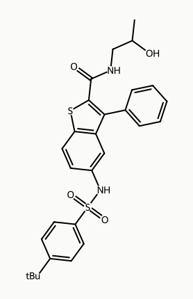 CC(O)CNC(=O)c1sc2ccc(NS(=O)(=O)c3ccc(C(C)(C)C)cc3)cc2c1-c1ccccc1